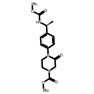 C[C@H](NC(=O)OC(C)(C)C)c1ccc(N2CCN(C(=O)OC(C)(C)C)CC2=O)cc1